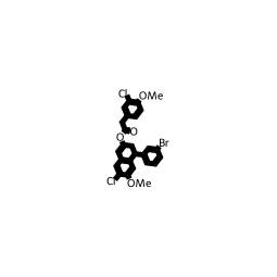 COc1ccc(CC(=O)OC2=Cc3cc(Cl)c(OC)cc3C(c3cccc(Br)c3)C2)cc1Cl